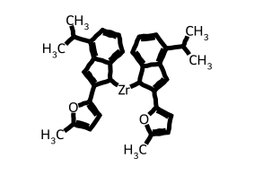 Cc1ccc(C2=Cc3c(C(C)C)cccc3[CH]2[Zr][CH]2C(c3ccc(C)o3)=Cc3c(C(C)C)cccc32)o1